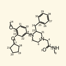 CNC(=O)CN1CCN(c2ccc(OC)c(OC3CCCC3)c2)C(Cc2ccccc2)C1